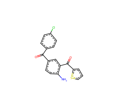 Nc1ccc(C(=O)c2ccc(Cl)cc2)cc1C(=O)c1cccs1